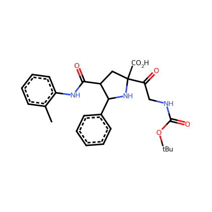 Cc1ccccc1NC(=O)C1CC(C(=O)O)(C(=O)CNC(=O)OC(C)(C)C)NC1c1ccccc1